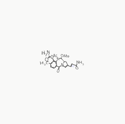 COC1C2CC(/C=C/C(N)=O)=CN2C(=O)c2ccc(C)c(OC(N)=O)c2N1C(C)=O